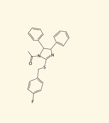 CC(=O)N1C(SCc2ccc(F)cc2)=NC(c2ccccc2)C1c1ccccc1